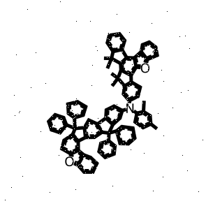 Cc1ccc(N(c2ccc3c(c2)C(C)(C)c2c4c(c5c(oc6ccccc65)c2-3)-c2ccccc2C4(C)C)c2ccc3c(c2)C(c2ccccc2)(c2ccccc2)c2cc4c(cc2-3)C(c2ccccc2)(c2ccccc2)c2ccc3oc5ccccc5c3c2-4)c(C)c1